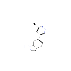 C#Cc1cncc(C2=CCC3CCNC3C2)c1